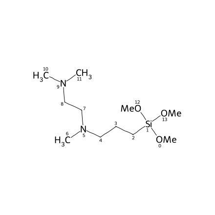 CO[Si](CCCN(C)CCN(C)C)(OC)OC